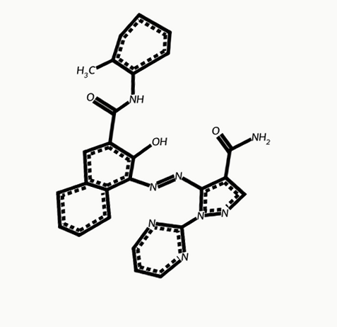 Cc1ccccc1NC(=O)c1cc2ccccc2c(/N=N/c2c(C(N)=O)cnn2-c2ncccn2)c1O